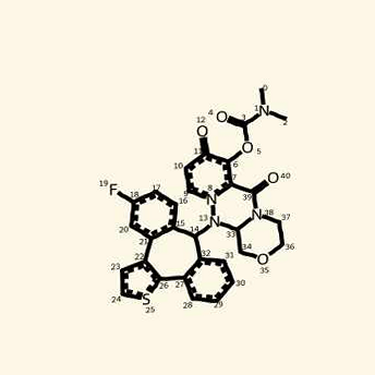 CN(C)C(=O)Oc1c2n(ccc1=O)N(C1c3ccc(F)cc3-c3ccsc3-c3ccccc31)C1COCCN1C2=O